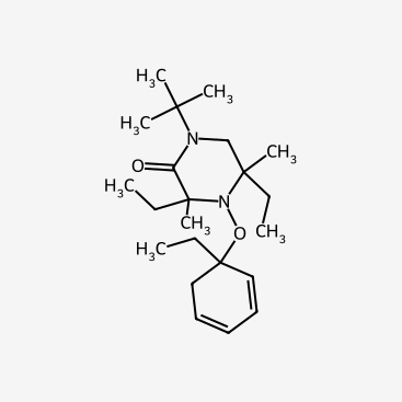 CCC1(ON2C(C)(CC)CN(C(C)(C)C)C(=O)C2(C)CC)C=CC=CC1